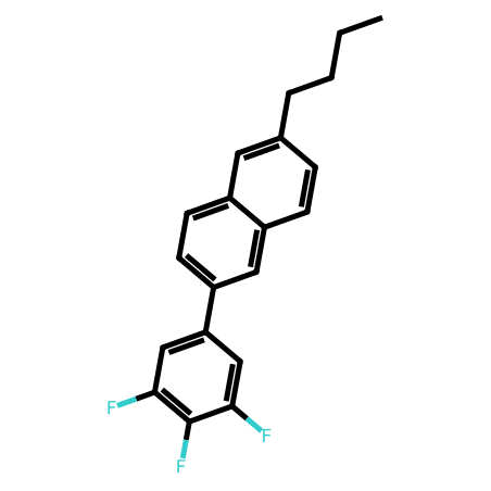 CCCCc1ccc2cc(-c3cc(F)c(F)c(F)c3)ccc2c1